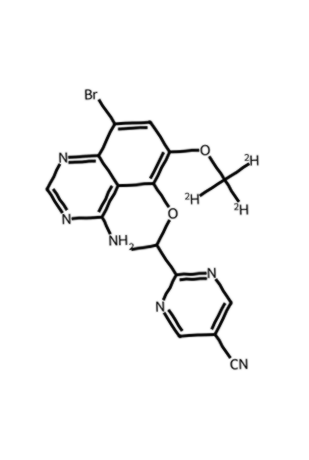 [2H]C([2H])([2H])Oc1cc(Br)c2ncnc(N)c2c1OC(C)c1ncc(C#N)cn1